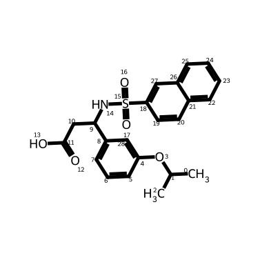 CC(C)Oc1cccc(C(CC(=O)O)NS(=O)(=O)c2ccc3ccccc3c2)c1